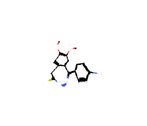 COc1cc2c(cc1OC)C(c1ccc(N)cc1)=NNC(=S)C2